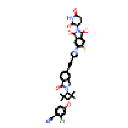 CC1(C)[C@H](Oc2ccc(C#N)c(Cl)c2)C(C)(C)[C@H]1N1Cc2cc(C#CC3CN(c4cc5c(cc4F)C(=O)N(C4CCC(=O)NC4=O)C5=O)C3)ccc2C1=O